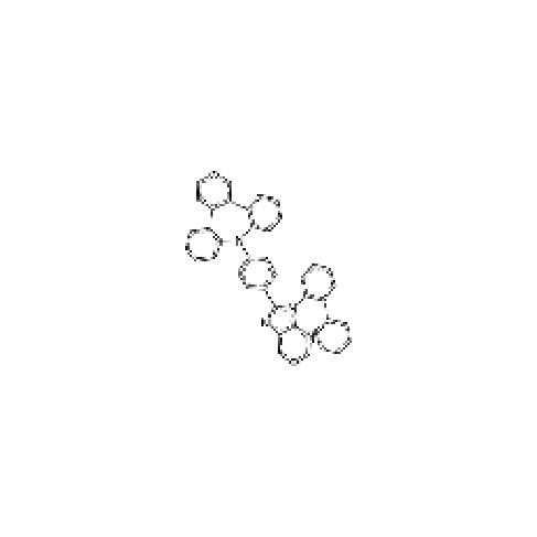 c1ccc(-c2ccccc2-n2c(-c3ccc(N4c5ccccc5-c5ccccc5-c5ccccc54)cc3)nc3cccnc32)cc1